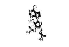 [2H]B(C)OC[C@H]1O[C@@H](n2ccc3c(Cl)ncnc32)[C@](C)(O)[C@@H]1OB([2H])C